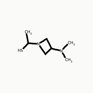 CC(S)N1CC(N(C)C)C1